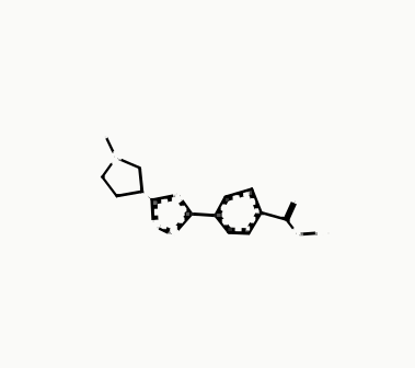 CCCCNC(=O)c1ccc(-c2noc([C@@H]3CCN(C(=O)O)C3)n2)cc1